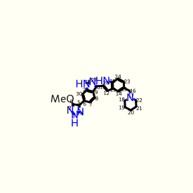 COc1n[nH]nc1-c1ccc2c(-c3cc4cc(CN5CCCCC5)ccc4[nH]3)n[nH]c2c1